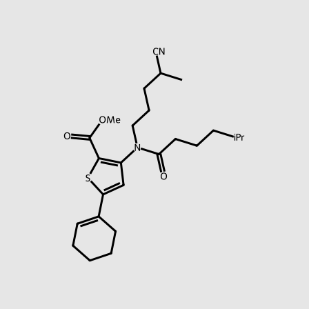 COC(=O)c1sc(C2=CCCCC2)cc1N(CCCC(C)C#N)C(=O)CCCC(C)C